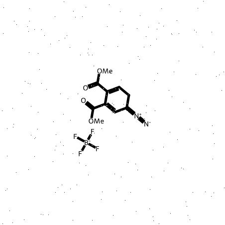 COC(=O)C1=CCC(=[N+]=[N-])C=C1C(=O)OC.F[B-](F)(F)F